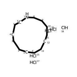 C1CCCCCCNCCCCCC1.Cl.Cl.Cl.Cl.Cl